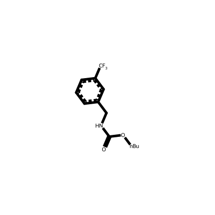 CCCCOC(=O)NCc1cccc(C(F)(F)F)c1